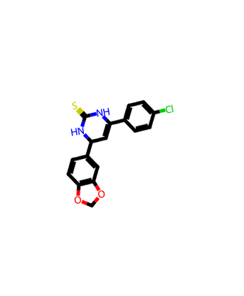 S=C1NC(c2ccc(Cl)cc2)=CC(c2ccc3c(c2)OCO3)N1